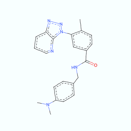 Cc1ccc(C(=O)NCc2ccc(N(C)C)cc2)cc1-n1nnc2cccnc21